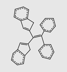 C1=C(C(C2=Cc3ccccc3C2)=C(c2ccccc2)c2ccccc2)Cc2ccccc21